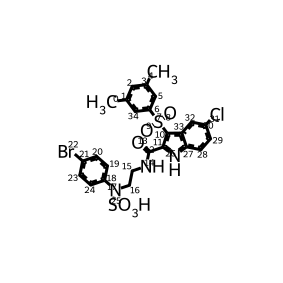 Cc1cc(C)cc(S(=O)(=O)c2c(C(=O)NCCN(c3ccc(Br)cc3)S(=O)(=O)O)[nH]c3ccc(Cl)cc23)c1